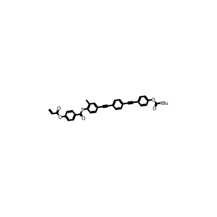 C=CC(=O)Oc1ccc(C(=O)Sc2ccc(C#Cc3ccc(C#Cc4ccc(OC(=O)C(C)(C)C)cc4)cc3)cc2C)cc1